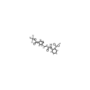 COC(=O)c1ccccc1NC(=O)C=Cc1cn(C(=O)OC(C)(C)C)cn1